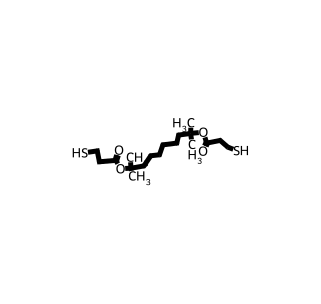 CC(C)(CCCCCCC(C)(C)OC(=O)CCS)OC(=O)CCS